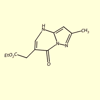 CCOC(=O)Cc1c[nH]c2cc(C)nn2c1=O